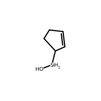 O[SiH2]C1C=CCC1